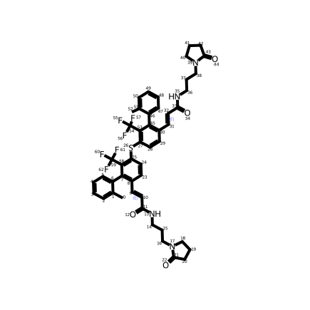 Cc1ccccc1-c1c(/C=C/C(=O)NCCCN2CCCC2=O)ccc(Sc2ccc(/C=C/C(=O)NCCCN3CCCC3=O)c(-c3ccccc3C)c2C(F)(F)F)c1C(F)(F)F